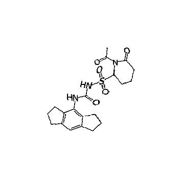 CC(=O)N1C(=O)CCCC1S(=O)(=O)NC(=O)Nc1c2c(cc3c1CCC3)CCC2